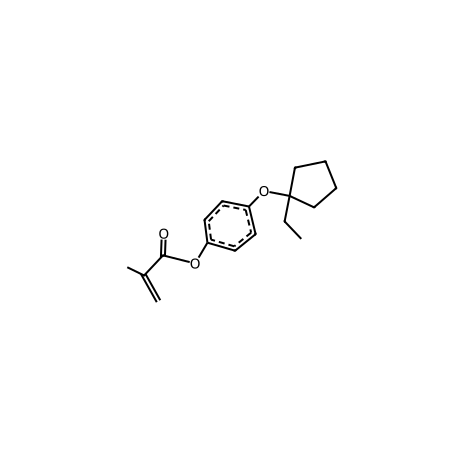 C=C(C)C(=O)Oc1ccc(OC2(CC)CCCC2)cc1